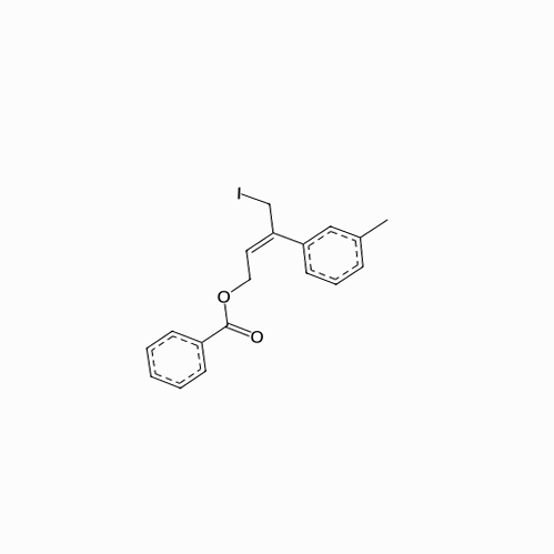 Cc1cccc(/C(=C\COC(=O)c2ccccc2)CI)c1